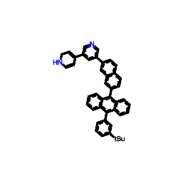 CC(C)(C)c1cccc(-c2c3ccccc3c(-c3ccc4ccc(-c5cncc(C6=CCNC=C6)c5)cc4c3)c3ccccc23)c1